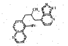 CC(Cc1ccc2ncccc2c1C(C)C)Cc1ccnc2[nH]ncc12